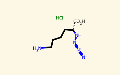 Cl.[N-]=[N+]=NN[C@H](CCCCN)C(=O)O